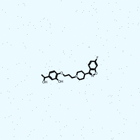 CC(O)c1ccc(OCCCN2CCC(c3noc4cc(F)ccc34)CC2)c(O)c1